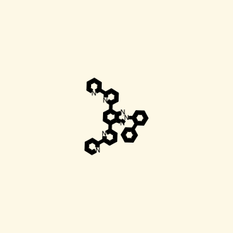 c1ccc(-c2ccccc2-n2nc3c(-c4cccc(-c5ccccn5)n4)ccc(-c4cccc(-c5ccccn5)n4)c3n2)cc1